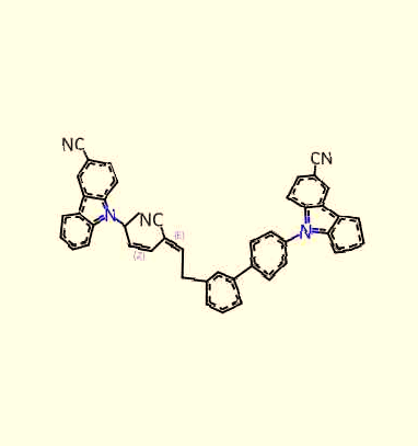 CC(/C=C\C(C#N)=C/Cc1cccc(-c2ccc(-n3c4ccccc4c4cc(C#N)ccc43)cc2)c1)n1c2ccccc2c2cc(C#N)ccc21